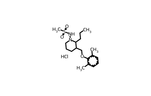 CCCC1C(COc2c(C)cccc2C)CCCN1NS(C)(=O)=O.Cl